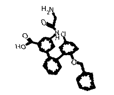 NCC(=O)Nc1cc(C(=O)O)cc(-c2ccccc2-c2cc(Cl)ccc2OCc2ccccc2)c1